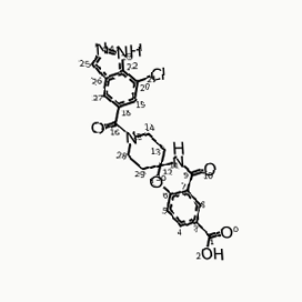 O=C(O)c1ccc2c(c1)C(=O)NC1(CCN(C(=O)c3cc(Cl)c4[nH]ncc4c3)CC1)O2